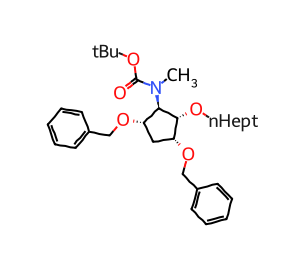 CCCCCCCO[C@H]1[C@H](N(C)C(=O)OC(C)(C)C)[C@@H](OCc2ccccc2)C[C@H]1OCc1ccccc1